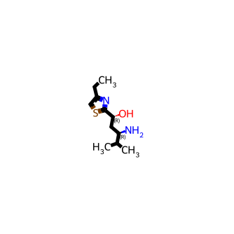 CCc1csc([C@H](O)C[C@@H](N)C(C)C)n1